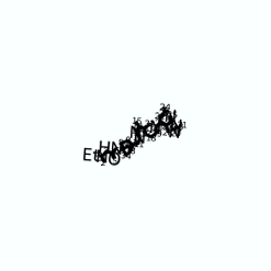 CCN(C)CC(=O)NC12CCC(Cn3nc(C)c4c3CCN(c3cc(C)nc5c3cnn5C)C4)=C(C1)C2